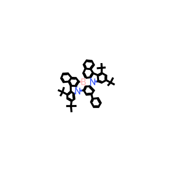 CC(C)(C)c1cc(C(C)(C)C)c2c3c4ccccc4cc4c3n(c2c1)-c1cc(-c2ccccc2)cc2c1B4c1cc3ccccc3c3c4c(C(C)(C)C)cc(C(C)(C)C)cc4n-2c13